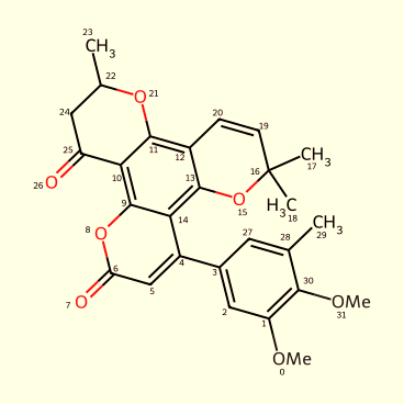 COc1cc(-c2cc(=O)oc3c4c(c5c(c23)OC(C)(C)C=C5)OC(C)CC4=O)cc(C)c1OC